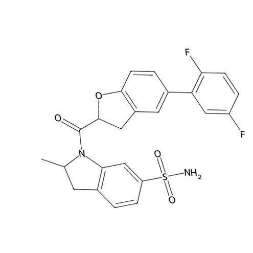 CC1Cc2ccc(S(N)(=O)=O)cc2N1C(=O)C1Cc2cc(-c3cc(F)ccc3F)ccc2O1